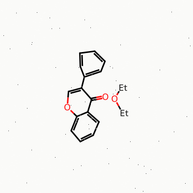 CCOCC.O=c1c(-c2ccccc2)coc2ccccc12